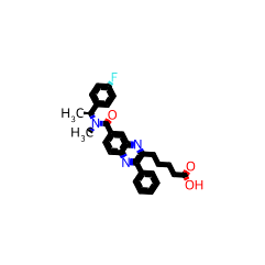 C[C@@H](c1ccc(F)cc1)N(C)C(=O)c1ccc2nc(-c3ccccc3)c(CCCCC(=O)O)nc2c1